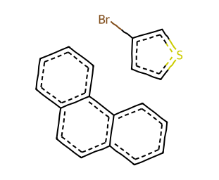 Brc1ccsc1.c1ccc2c(c1)ccc1ccccc12